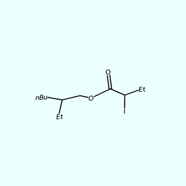 CCCCC(CC)COC(=O)C(I)CC